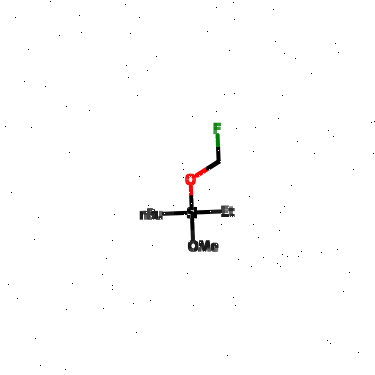 CCCC[Si](CC)(OC)OCF